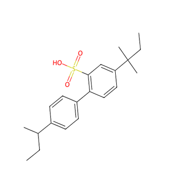 CCC(C)c1ccc(-c2ccc(C(C)(C)CC)cc2S(=O)(=O)O)cc1